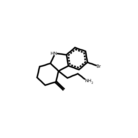 C=C1CCCC2Nc3ccc(Br)cc3C12CCN